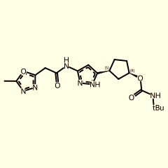 Cc1nnc(CC(=O)Nc2cc([C@H]3CC[C@@H](OC(=O)NC(C)(C)C)C3)[nH]n2)o1